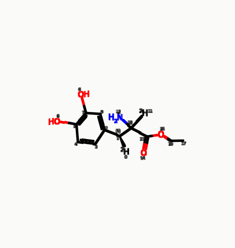 [2H][C@@H](c1ccc(O)c(O)c1)C([2H])(N)C(=O)OCC